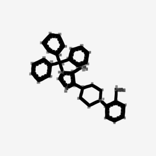 CC(=O)Nc1ccccc1N1CCC(c2ncn(C(c3ccccc3)(c3ccccc3)c3ccccc3)c2C)CC1